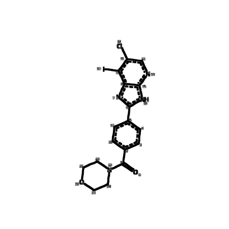 O=C(c1ccc(-c2nc3c(I)c(Cl)cnc3[nH]2)cc1)N1CCOCC1